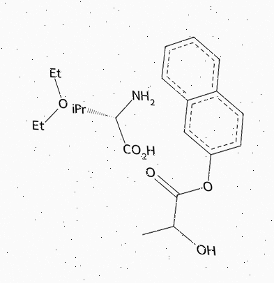 CC(C)[C@H](N)C(=O)O.CC(O)C(=O)Oc1ccc2ccccc2c1.CCOCC